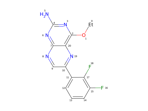 CCOc1nc(N)nc2ncc(-c3cccc(F)c3F)nc12